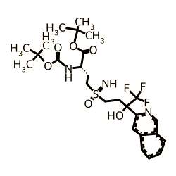 CC(C)(C)OC(=O)N[C@@H](CCS(=N)(=O)CCC(O)(c1cc2ccccc2cn1)C(F)(F)F)C(=O)OC(C)(C)C